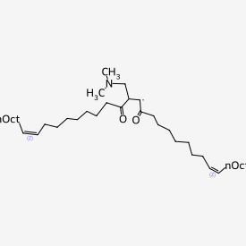 CCCCCCCC/C=C\CCCCCCCC(=O)[CH]C(CN(C)C)C(=O)CCCCCCC/C=C\CCCCCCCC